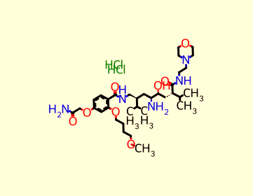 COCCCCOc1cc(OCC(N)=O)ccc1C(=O)NC[C@@H](C[C@H](N)[C@@H](O)C[C@H](C(=O)NCCN1CCOCC1)C(C)C)C(C)C.Cl.Cl